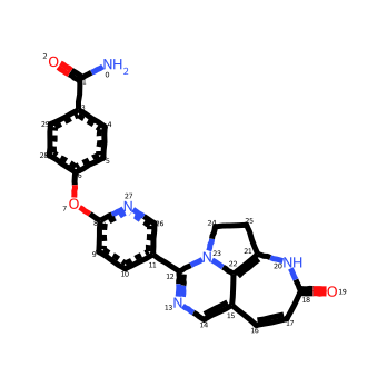 NC(=O)c1ccc(Oc2ccc(C3=NC=C4C=CC(=O)NC5=C4N3CC5)cn2)cc1